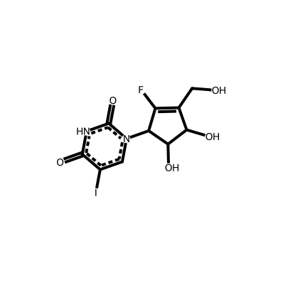 O=c1[nH]c(=O)n(C2C(F)=C(CO)C(O)C2O)cc1I